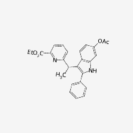 CCOC(=O)c1cccc(C(C)c2c(-c3ccccc3)[nH]c3cc(OC(C)=O)ccc23)n1